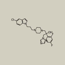 OC(CN1CCN(CCCn2ccc3cc(Cl)ccc32)CC1)(Cn1cncn1)c1ccc(F)cc1F